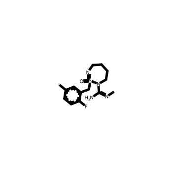 C/N=C(/N)N1CCCCN=S1(=O)Cc1cc(I)ccc1F